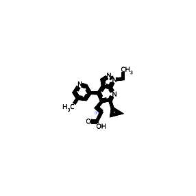 CCn1ncc2c(-c3cncc(C)c3)c(/C=C/C(=O)O)c(C3CC3)nc21